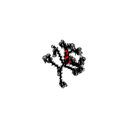 O=C=NC(CCCCCCCCC(CCCC(CCCCCCCCC(N=C=O)N=C=O)(CCCCCCCCC(N=C=O)N=C=O)N=C=O)C(CCCCCCCCC(N=C=O)N=C=O)(CCCCCCCCC(N=C=O)N=C=O)C(CCCCCCCCC(N=C=O)N=C=O)(CCCCCCCCC(N=C=O)N=C=O)C(CCCCCCCCC(N=C=O)N=C=O)(CCCCCCCCC(N=C=O)N=C=O)N=C=O)N=C=O